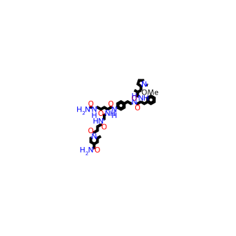 COC(C(C)C(=O)NC(Cc1ccccc1)C(=O)NCCc1ccc(NC(=O)C(CCCNC(N)=O)NC(=O)CNC(=O)CCC(=O)N2CCC(C(N)=O)CC2C)cc1)C1CCCN1C